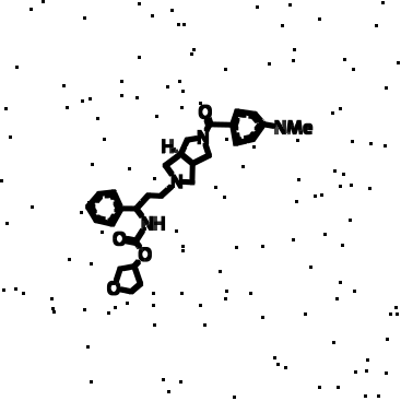 CNc1ccc(C(=O)N2CC3CN(CCC(NC(=O)OC4CCOC4)c4ccccc4)C[C@H]3C2)cc1